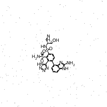 NC[C@@H](CO)NS(=O)(=O)c1ccc(-c2cccc3[nH]c(N)nc23)c(-c2nnn[nH]2)c1S(N)(=O)=O